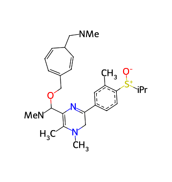 CNCC1C=CC=C(COC(NC)C2=C(C)N(C)CC(c3ccc([S+]([O-])C(C)C)c(C)c3)=N2)C=C1